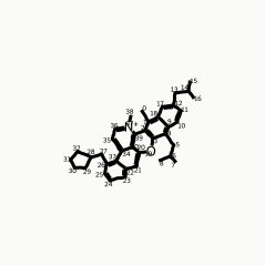 Cc1c2c(c(CC(C)C)c3ccc(CC(C)C)cc13)Oc1cc3cccc(CC4CCCC4)c3c3cc[n+](C)c-2c13